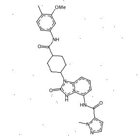 COc1cc(NC(=O)C2CCC(n3c(=O)[nH]c4c(NC(=O)c5ccnn5C)cccc43)CC2)ccc1C